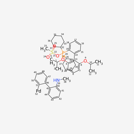 CC(C)Oc1cccc(OC(C)C)c1-c1ccccc1[PH](OS(C)(=O)=O)(C1CCCCC1)C1CCCCC1.CNc1ccccc1-c1cccc[c]1[Pd]